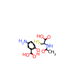 CC(=O)NC(CS)C(=O)O.Nc1ccc(O)c(C(=O)O)c1